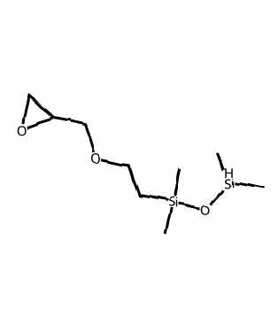 C[SiH](C)O[Si](C)(C)CCOCC1CO1